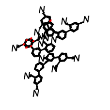 N#Cc1cccc(-c2ccc(-n3c4ccc(-c5ccc(C#N)cc5C#N)cc4c4cc(-c5ccc(C#N)cc5C#N)ccc43)c(-c3cccc(-n4c5ccc(-c6ccc(C#N)cc6C#N)cc5c5cc(-c6ccc(C#N)cc6C#N)ccc54)c3-c3nc(-c4ccccc4)nc(-c4ccccc4)n3)c2)c1